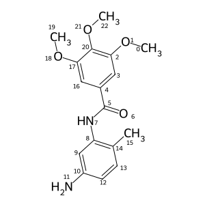 COc1cc(C(=O)Nc2cc(N)ccc2C)cc(OC)c1OC